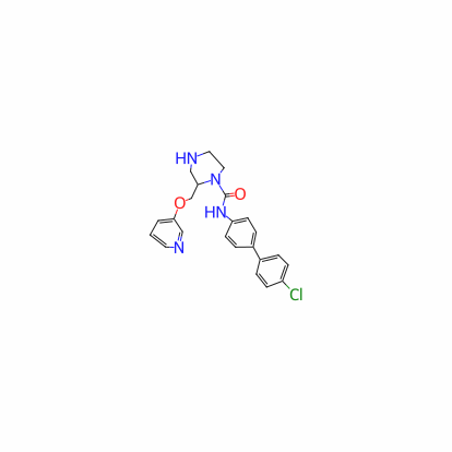 O=C(Nc1ccc(-c2ccc(Cl)cc2)cc1)N1CCNCC1COc1cccnc1